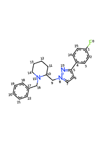 Fc1ccc(-c2ccn(CC3CCCCN3Cc3ccccc3)n2)cc1